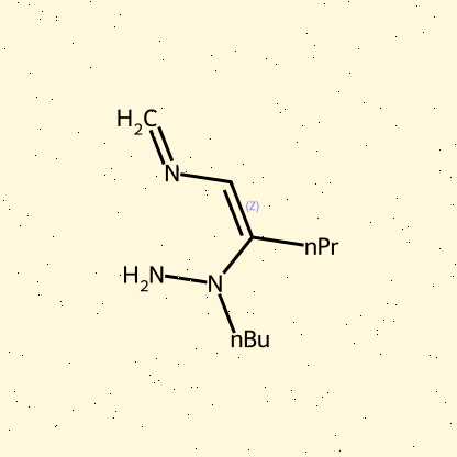 C=N/C=C(/CCC)N(N)CCCC